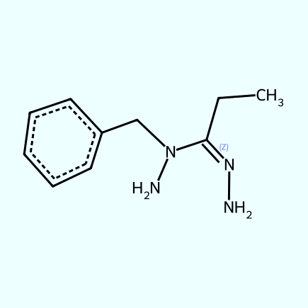 CC/C(=N/N)N(N)Cc1ccccc1